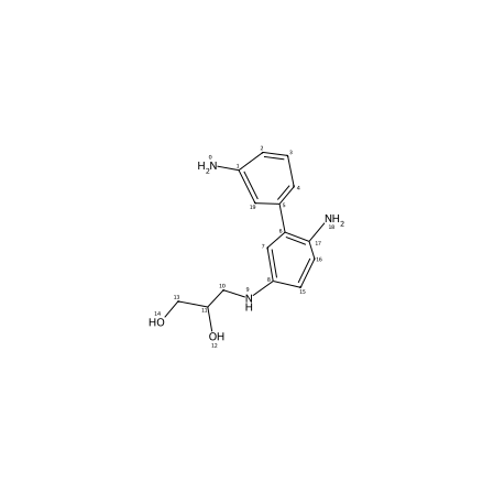 Nc1cccc(-c2cc(NCC(O)CO)ccc2N)c1